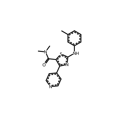 Cc1cccc(Nc2nc(-c3ccncc3)c(C(=O)N(C)C)s2)c1